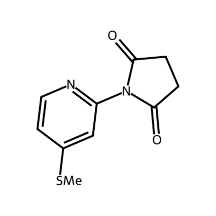 CSc1ccnc(N2C(=O)CCC2=O)c1